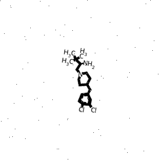 CC(C)(C)[C@@H](N)CN1CCC(Cc2ccc(Cl)c(Cl)c2)CC1